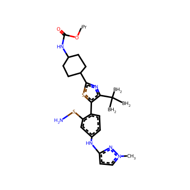 BC(B)(B)c1nc(C2CCC(NC(=O)OC(C)C)CC2)sc1-c1ccc(Nc2ccn(C)n2)cc1SN